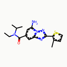 CCN(C(=O)c1cc(N)n2nc(-c3sccc3C)nc2c1)C(C)C